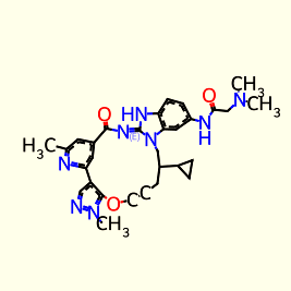 Cc1cc2cc(n1)-c1cnn(C)c1OCCCC(C1CC1)CN1/C(=N/C2=O)Nc2ccc(NC(=O)CN(C)C)cc21